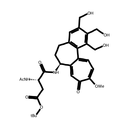 COc1ccc2c(cc1=O)[C@@H](NC(=O)[C@H](CC(=O)OC(C)(C)C)NC(C)=O)CCc1cc(CO)c(CO)c(CO)c1-2